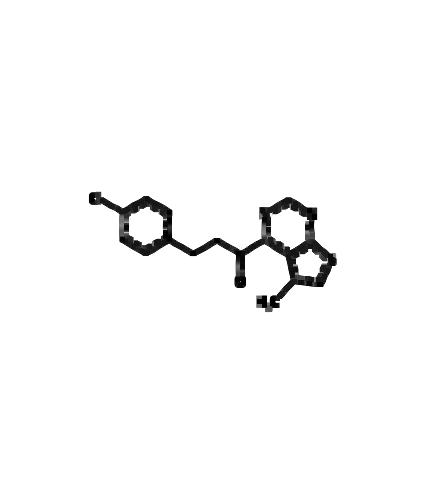 Cc1csc2ncnc(C(=O)CCc3ccc(Cl)cc3)c12